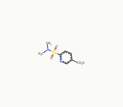 CN(C)S(=O)(=O)c1ccc(C(=O)O)cn1